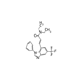 CCN(CC)C(=O)C=Cc1cc(C(F)(F)F)cc2ncn(-c3ccccc3)c12